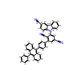 N#Cc1cc(-c2ccc(-c3c4ccccc4c(-c4ccccc4)c4ccccc34)cc2)c(C#N)c(-n2c3ccccc3c3cc(C#N)ccc32)c1